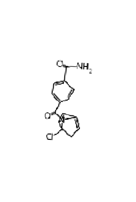 NC(=O)c1ccc(C(=O)N2C3=CCC2(Cl)C=C3)cc1